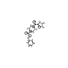 O=C(OCc1ccccc1)N1CCN(C(=O)C2CCCO2)CC1